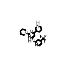 FC(F)(F)c1ccnc(Nc2cc(C3CCCNC3)nc(N3CCCCC3)n2)c1